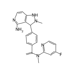 C=C(c1ccc(C2c3c(ccnc3N)NN2C)cc1)N(C)c1cc(F)ccn1